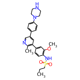 CCCS(=O)(=O)Nc1ccc(-c2cc(-c3ccc(N4CCNCC4)cc3)cnc2C)cc1OC